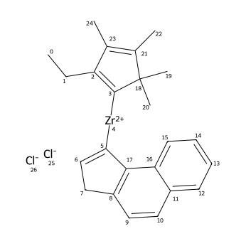 CCC1=[C]([Zr+2][C]2=CCc3ccc4ccccc4c32)C(C)(C)C(C)=C1C.[Cl-].[Cl-]